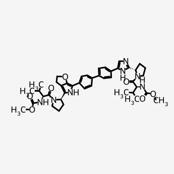 COC(=O)N[C@H](C(=O)N1CCC[C@@H]1c1[nH]c(-c2ccc(-c3ccc(-c4cnc([C@@H]5CCCN5C(=O)[C@@H](NC(=O)OC)C(C)C)[nH]4)cc3)cc2)c2c1CCO2)C(C)C